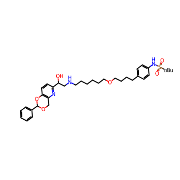 CCCCS(=O)(=O)Nc1ccc(CCCCOCCCCCCNCC(O)c2ccc3c(n2)COC(c2ccccc2)O3)cc1